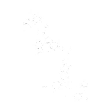 COc1ccc(C(C)(NCC(O)c2ccc(O)c(NS(C)(=O)=O)c2)C(=O)Nc2ccc(CO[PH](=O)OCc3ccc(NC(=O)C(C)(NCC(O)c4ccc(O)c(NS(C)(=O)=O)c4)c4ccc(OC)cc4)c(Cl)c3)cc2Cl)cc1